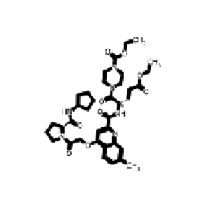 CCOC(=O)CC[C@H](NC(=O)c1cc(OCC(=O)N2CCC[C@H]2C(=O)NC2CCCC2)c2ccc(C)cc2n1)C(=O)N1CCN(C(=O)OCC)CC1